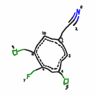 N#Cc1cc(Cl)c(F)c(Cl)c1